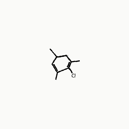 CC1=CC(C)[CH]C(C)=C1Cl